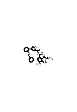 N#Cc1c(O)ccc(C(=O)OC(=O)c2cc(-c3ccccc3OCc3ccccc3)co2)c1C(=O)NN